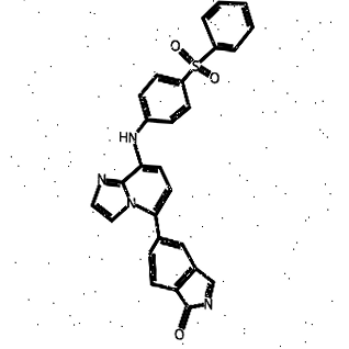 O=C1N=Cc2cc(-c3ccc(Nc4ccc(S(=O)(=O)c5ccccc5)cc4)c4nccn34)ccc21